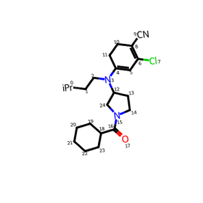 CC(C)CCN(C1=CC(Cl)=C(C#N)CC1)C1CCN(C(=O)C2CCCCC2)C1